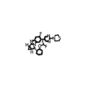 Fc1cc2nc3n(c2cc1-c1cnc(N2CCSCC2)nc1)[C@@H](c1ccccc1OC(F)F)[C@H]1C[C@@H]31